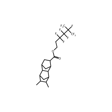 CC1C(C)C2CC1C1C3CC(C(=O)OCCC(F)(F)C(F)(F)C(F)(C(F)(F)F)C(F)(F)F)C(C3)C21